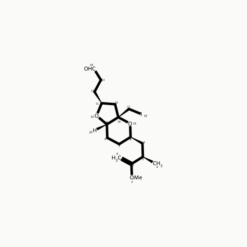 C=C(OC)[C@H](C)C[C@H]1CC[C@@H]2O[C@@H](CCC=O)C[C@]2(CI)O1